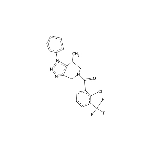 CC1CN(C(=O)c2cccc(C(F)(F)F)c2Cl)Cc2nnn(-c3ccccc3)c21